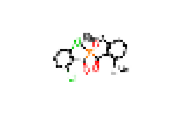 COc1cccc(OC)c1C(=O)P(=O)(CC(C)C)C(=O)c1c(Cl)cccc1Cl